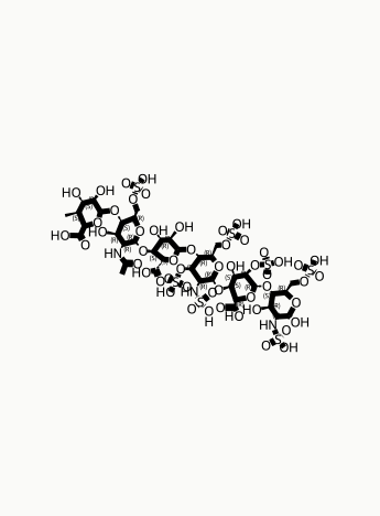 CC(=O)N[C@H]1[C@@H](O[C@H]2[C@H](O)[C@@H](O)C(O[C@H]3[C@H](OS(=O)(=O)O)[C@@H](NS(=O)(=O)O)[C@@H](O[C@H]4[C@H](O)[C@@H](OS(=O)(=O)O)[C@H](O[C@H]5[C@H](O)[C@@H](NS(=O)(=O)O)C(O)O[C@@H]5COS(=O)(=O)O)O[C@H]4C(=O)O)O[C@@H]3COS(=O)(=O)O)O[C@@H]2C(=O)O)O[C@H](COS(=O)(=O)O)[C@@H](OC2OC(C(=O)O)[C@@H](C)[C@H](O)[C@H]2O)[C@@H]1O